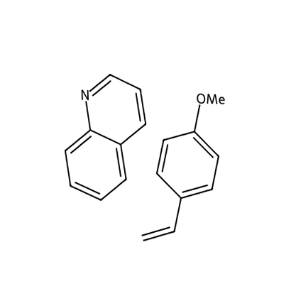 C=Cc1ccc(OC)cc1.c1ccc2ncccc2c1